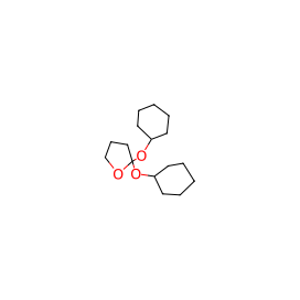 C1CCC(OC2(OC3CCCCC3)CCCO2)CC1